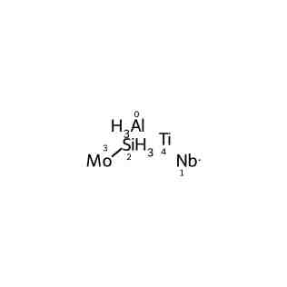 [AlH3].[Nb].[SiH3][Mo].[Ti]